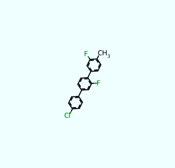 Cc1ccc(-c2ccc(-c3ccc(Cl)cc3)cc2F)cc1F